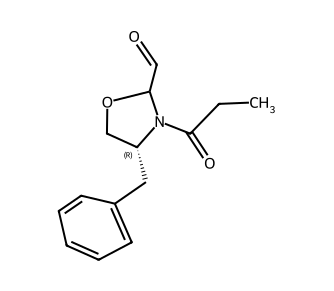 CCC(=O)N1C(C=O)OC[C@H]1Cc1ccccc1